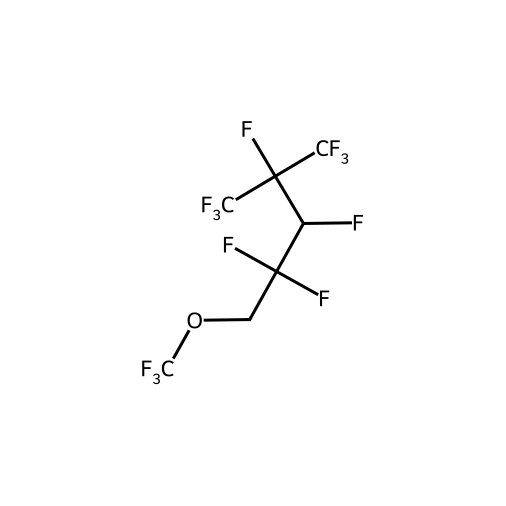 FC(C(F)(F)COC(F)(F)F)C(F)(C(F)(F)F)C(F)(F)F